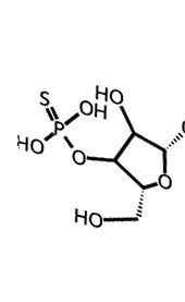 OC[C@H]1O[C@@H](O)C(O)C1OP(O)(O)=S